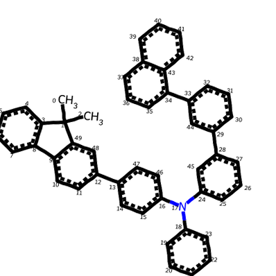 CC1(C)c2ccccc2-c2ccc(-c3ccc(N(c4ccccc4)c4cccc(-c5cccc(-c6cccc7ccccc67)c5)c4)cc3)cc21